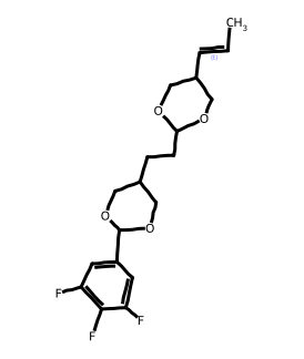 C/C=C/C1COC(CCC2COC(c3cc(F)c(F)c(F)c3)OC2)OC1